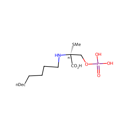 CCCCCCCCCCCCCCN[C@](COP(=O)(O)O)(SC)C(=O)O